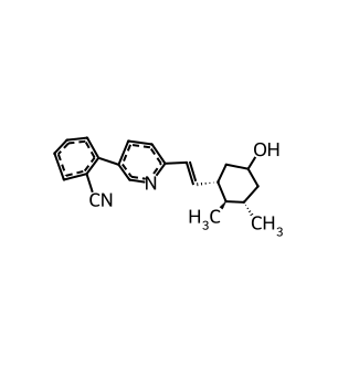 C[C@H]1[C@H](/C=C/c2ccc(-c3ccccc3C#N)cn2)CC(O)C[C@@H]1C